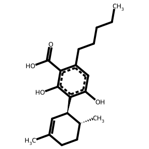 CCCCCc1cc(O)c([C@@H]2C=C(C)CC[C@H]2C)c(O)c1C(=O)O